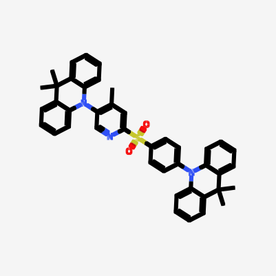 Cc1cc(S(=O)(=O)c2ccc(N3c4ccccc4C(C)(C)c4ccccc43)cc2)ncc1N1c2ccccc2C(C)(C)c2ccccc21